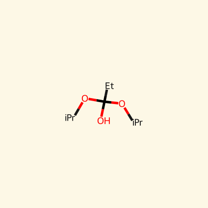 CCC(O)(OC(C)C)OC(C)C